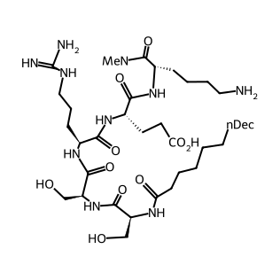 CCCCCCCCCCCCCCCC(=O)N[C@@H](CO)C(=O)N[C@@H](CO)C(=O)N[C@@H](CCCNC(=N)N)C(=O)N[C@@H](CCC(=O)O)C(=O)N[C@@H](CCCCN)C(=O)NC